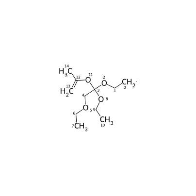 [CH2]COC(COCC)(OCC)OC(=C)C